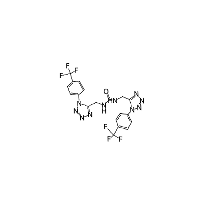 O=C(NCc1nnnn1-c1ccc(C(F)(F)F)cc1)NCc1nnnn1-c1ccc(C(F)(F)F)cc1